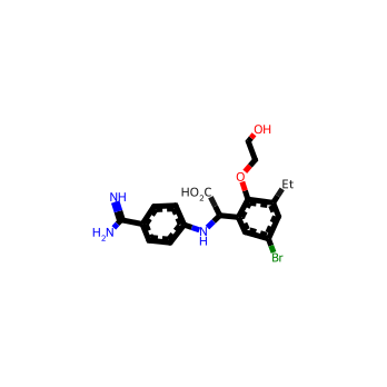 CCc1cc(Br)cc(C(Nc2ccc(C(=N)N)cc2)C(=O)O)c1OCCO